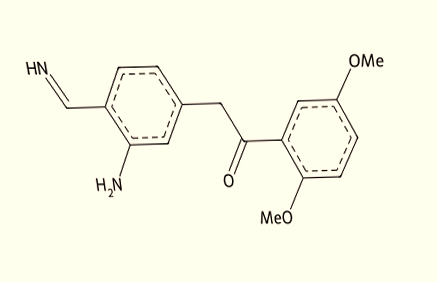 COc1ccc(OC)c(C(=O)Cc2ccc(C=N)c(N)c2)c1